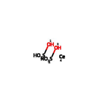 O=S(=O)(O)O.O=S(=O)(O)O.[Ce]